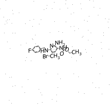 CBr.CCOC(=O)Nc1ccc(NCc2ccc(F)cc2)nc1N